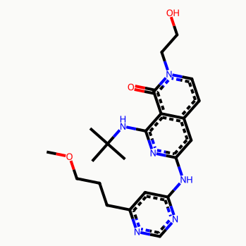 COCCCc1cc(Nc2cc3ccn(CCO)c(=O)c3c(NC(C)(C)C)n2)ncn1